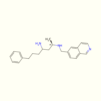 C[C@H](CC(N)CCCc1ccccc1)NCc1ccc2cnccc2c1